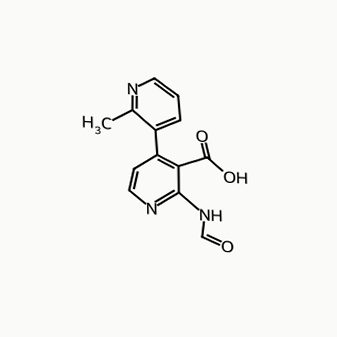 Cc1ncccc1-c1ccnc(NC=O)c1C(=O)O